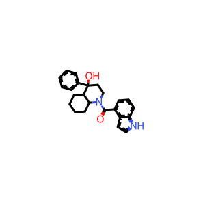 O=C(c1cccc2[nH]ccc12)N1CCC(O)(c2ccccc2)C2CCCCC21